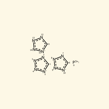 [P+3].c1nnn[n-]1.c1nnn[n-]1.c1nnn[n-]1